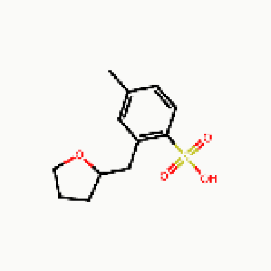 Cc1ccc(S(=O)(=O)O)c(CC2CCCO2)c1